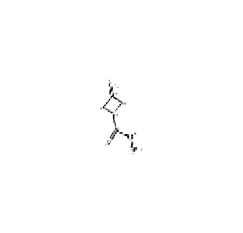 C=C1CN(C(=O)OC(C)(C)C)C1